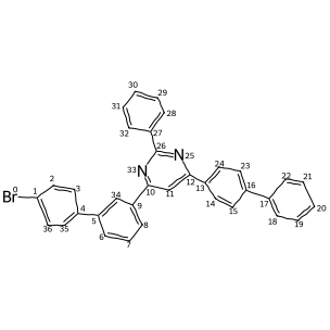 Brc1ccc(-c2cccc(-c3cc(-c4ccc(-c5ccccc5)cc4)nc(-c4ccccc4)n3)c2)cc1